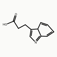 O=C(O)CCC1=CN=C2C=CC=CC12